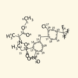 CCOC(=O)C(C)=NOP(=O)(CC)c1cc(Cc2ccc(C(F)(F)F)cc2Cl)ccc1[N+](=O)[O-]